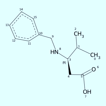 CC(C)[C@@H](CC(=O)O)NCc1ccccc1